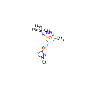 C=CC[C@H](COc1ccn(CC)n1)CS(N)(=O)=N[Si](C)(C)C(C)(C)C